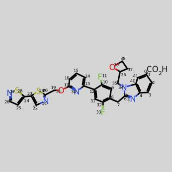 O=C(O)c1ccc2nc(Cc3cc(F)c(-c4cccc(OCc5ncc(-c6ccns6)s5)n4)cc3F)n(CC3CCO3)c2c1